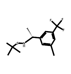 Cc1cc([C@@H](C)NSC(C)(C)C)cc(C(F)(F)F)c1